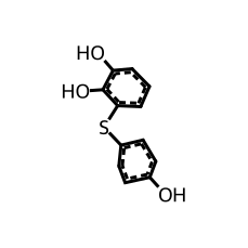 Oc1ccc(Sc2cccc(O)c2O)cc1